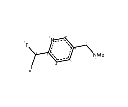 CNCc1ccc(C(F)I)nc1